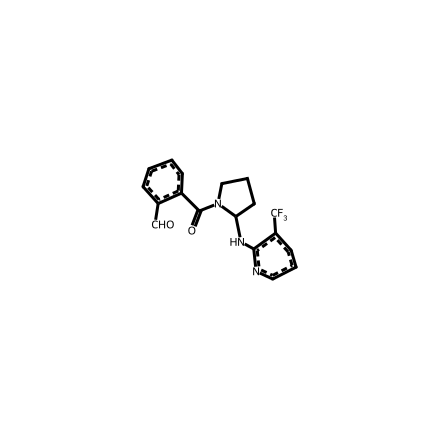 O=Cc1ccccc1C(=O)N1CCCC1Nc1ncccc1C(F)(F)F